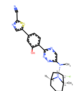 CN(c1cnc(-c2ccc(-c3cnc(C#N)s3)cc2O)nn1)[C@H]1C[C@@H]2CCC[C@@](C)(N2)[C@H]1F